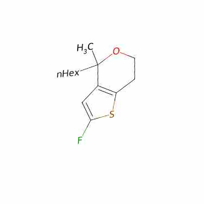 CCCCCCC1(C)OCCc2sc(F)cc21